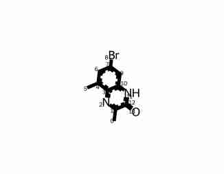 Cc1nc2c(C)cc(Br)cc2[nH]c1=O